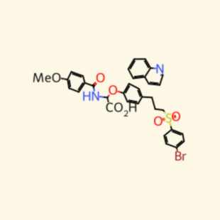 COc1ccc(C(=O)NC(Oc2ccc(CCCS(=O)(=O)c3ccc(Br)cc3)cc2)C(=O)O)cc1.c1ccc2ncccc2c1